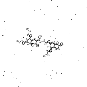 CCCOc1cc(OCCC)c2cc(C(=O)CCCOc3cc(OCCC)c4ccc(=O)oc4c3)c(=O)oc2c1